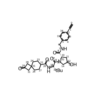 C#Cc1ccc(CNC(=O)[C@@H]2C[C@@H](O)CN2C(=O)[C@@H](NC(=O)C2CCC3(CC2)CC(=O)C3)C(C)(C)C)cc1